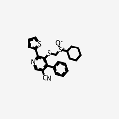 N#Cc1cnc(-c2cccs2)c(SC[S+]([O-])C2CCCCC2)c1-c1ccccc1